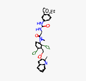 CCOC(=O)c1cccc(NC(=O)NCC(=O)N(C)c2ccc(Cl)c(COc3cc4ccccc4nc3C)c2Cl)c1